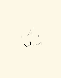 C=CC(=O)NC(C)(C)C.CN(C)C.Cl